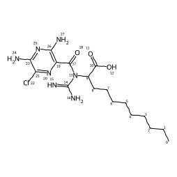 CCCCCCCCCC(C(=O)O)N(C(=N)N)C(=O)c1nc(Cl)c(N)nc1N